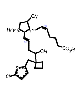 N#CC1C[C@@H](O)C(/C=C/CC(O)C2(Cc3ccc(Cl)s3)CCC2)[C@H]1C/C=C\CCCC(=O)O